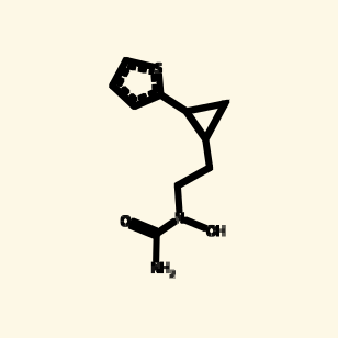 NC(=O)N(O)CCC1CC1c1cccs1